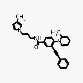 CC1=CCC=CN1c1ccc(C(=O)NCCCn2ccc(C)c2)cc1C#Cc1ccccc1